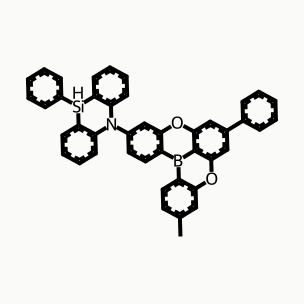 Cc1ccc2c(c1)Oc1cc(-c3ccccc3)cc3c1B2c1ccc(N2c4ccccc4[SiH](c4ccccc4)c4ccccc42)cc1O3